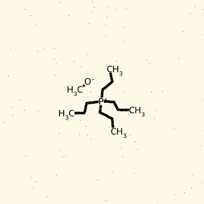 CCC[P+](CCC)(CCC)CCC.C[O-]